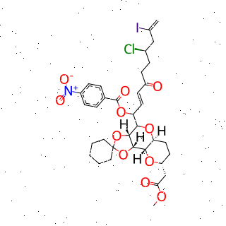 C=C(I)C[C@H](Cl)CCC(=O)/C=C/C(OC(=O)c1ccc([N+](=O)[O-])cc1)C1O[C@H]2CC[C@H](CC(=O)OC)O[C@@H]2[C@@H]2OC3(CCCCC3)O[C@H]12